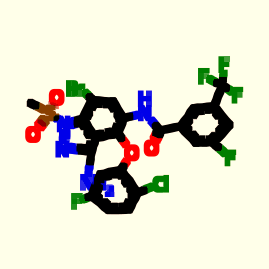 CS(=O)(=O)n1nc(N)c2c(Oc3cc(F)ccc3Cl)c(NC(=O)c3cc(F)cc(C(F)(F)F)c3)cc(Br)c21